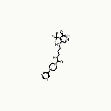 O=C(NCCCNc1cn[nH]c(=O)c1C(F)(F)F)N1CCN(c2cncnc2)CC1